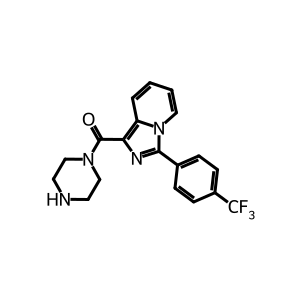 O=C(c1nc(-c2ccc(C(F)(F)F)cc2)n2ccccc12)N1CCNCC1